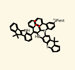 CCC[C@H](C)c1ccc(N2c3cc4c(cc3Bc3c2cc2ccccc2c3-c2cccc3c5c([nH]c23)-c2ccccc2C5(C)C)Sc2ccccc2C4(C)C)c(-c2ccccc2)c1